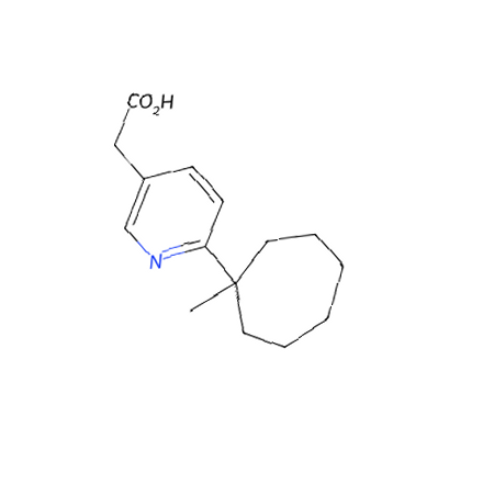 CC1(c2ccc(CC(=O)O)cn2)CCCCCC1